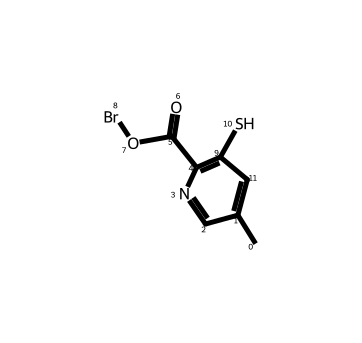 Cc1cnc(C(=O)OBr)c(S)c1